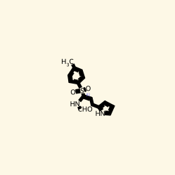 Cc1ccc(S(=O)(=O)/C(=C/Cc2ccc[nH]2)NC=O)cc1